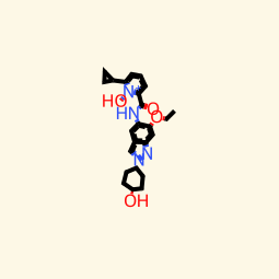 CCOc1cc2nn([C@H]3CC[C@H](O)CC3)cc2cc1NC(=O)c1cccc(C2CC2)[n+]1O